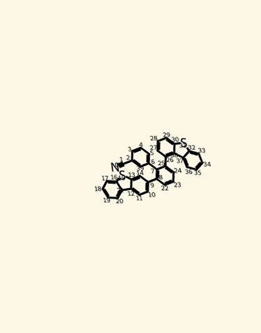 N#Cc1cccc(-c2c(-c3ccc4c(c3)sc3ccccc34)cccc2-c2cccc3sc4ccccc4c23)c1